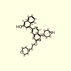 Oc1cc(-c2cc3nc(OCCN4CCOCC4)nc(N4CCNCC4)c3cn2)c2ccccc2c1